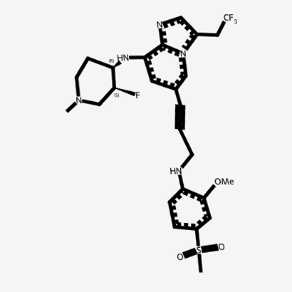 COc1cc(S(C)(=O)=O)ccc1NCC#Cc1cc(N[C@@H]2CCN(C)C[C@@H]2F)c2ncc(CC(F)(F)F)n2c1